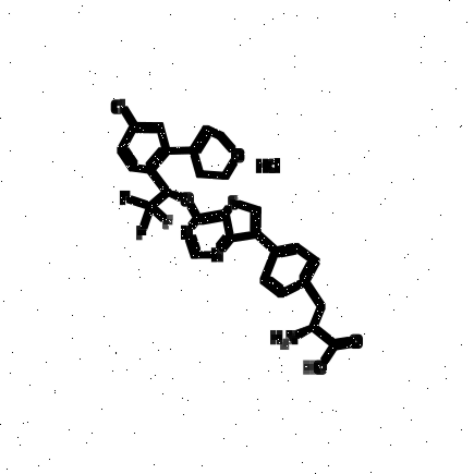 Cl.N[C@@H](Cc1ccc(-c2csc3c(O[C@H](c4ccc(Cl)cc4C4=CCOCC4)C(F)(F)F)ncnc23)cc1)C(=O)O